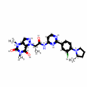 C[C@H]1CCCN1c1ccc(-c2nccc(NC(=O)[C@H](C)n3ncc4c3c(=O)n(C)c(=O)n4C)n2)cc1F